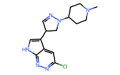 CN1CCC(N2CC(c3c[nH]c4nnc(Cl)cc34)C=N2)CC1